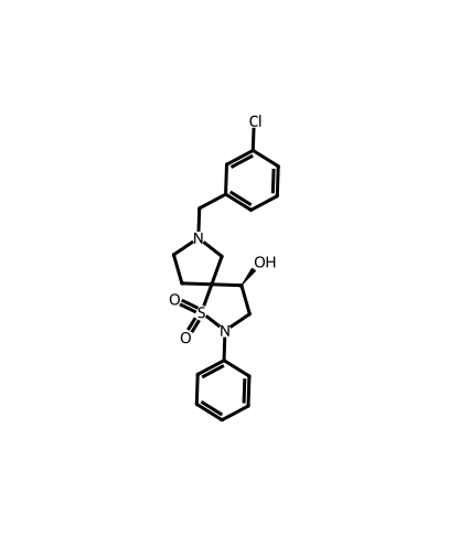 O=S1(=O)N(c2ccccc2)C[C@H](O)C12CCN(Cc1cccc(Cl)c1)C2